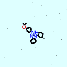 CC(C)Oc1ccc(Nc2nc3ccccc3n2[C@H]2CCC[C@@H](C)C2)cc1